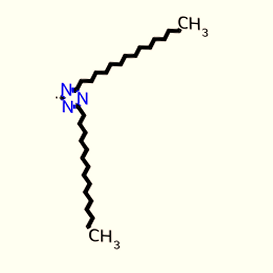 CCCCCCCCCCCCCCCc1n[c]nc(CCCCCCCCCCCCCCC)n1